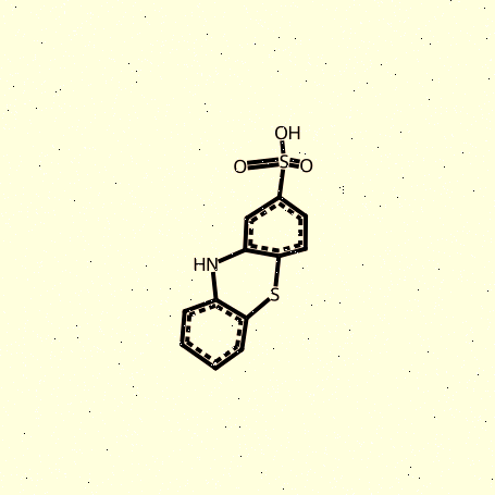 O=S(=O)(O)c1ccc2c(c1)Nc1ccccc1S2